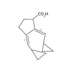 O=C(O)C1CCC(=C/C2CC2)/C1=C\C1CC1